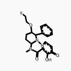 CN1C(=O)c2c(O)c(=O)ccn2N2C(c3ccccc3)C(OCCF)CCC12